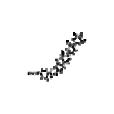 CCCCCc1ccc(C(F)(F)Oc2ccc(-c3ccc(-c4ccc(-c5cc(F)c(Cl)c(F)c5)c(F)c4)c(F)c3)c(F)c2)c(F)c1